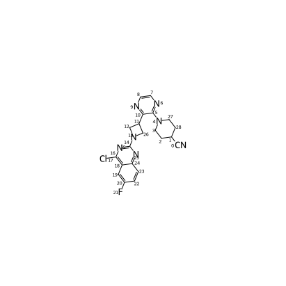 N#CC1CCN(c2nccnc2C2CN(c3nc(Cl)c4cc(F)ccc4n3)C2)CC1